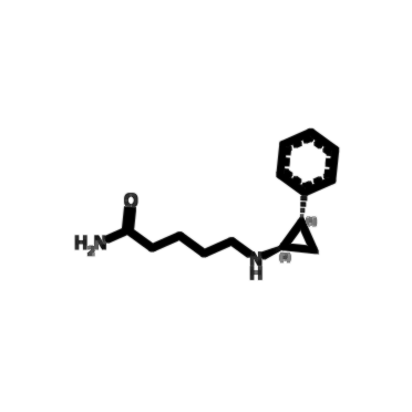 NC(=O)CCCCN[C@@H]1C[C@H]1c1ccccc1